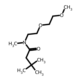 COCCOCCN(C)C(=O)CC(C)(C)C